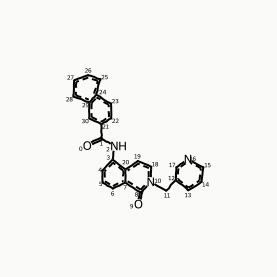 O=C(Nc1cccc2c(=O)n(Cc3cccnc3)ccc12)c1ccc2ccccc2c1